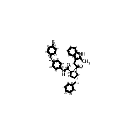 Cc1[nH]c2ccccc2c1CC(=O)N1C[C@H](Cc2ccccc2)C[C@H]1C(=O)Nc1ccc(Oc2ccc(F)cc2)cc1